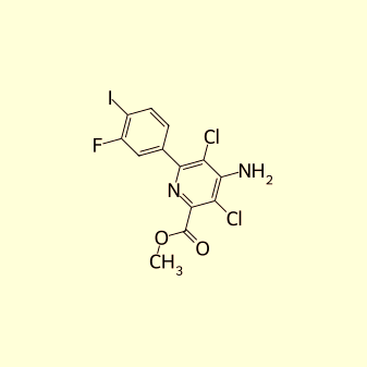 COC(=O)c1nc(-c2ccc(I)c(F)c2)c(Cl)c(N)c1Cl